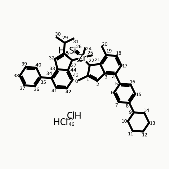 CC1=Cc2c(-c3ccc(C4CCCCC4)cc3)ccc(C)c2[CH]1[Zr]([CH3])([CH3])(=[SiH2])[CH]1C(C(C)C)=Cc2c(-c3ccccc3)cccc21.Cl.Cl